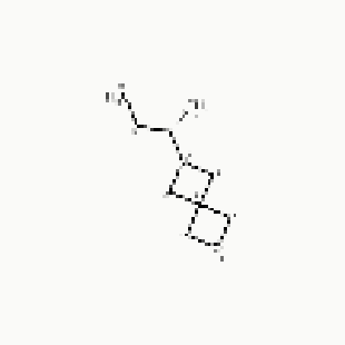 CC[C@H](C)N1CC2(COC2)C1